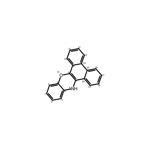 c1ccc2c(c1)Nc1c(c3ccccc3c3ccccc13)O2